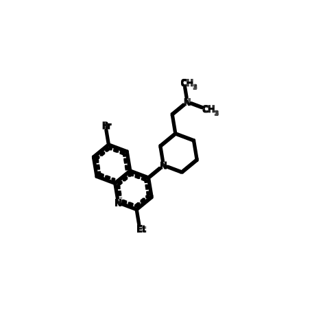 CCc1cc(N2CCCC(CN(C)C)C2)c2cc(Br)ccc2n1